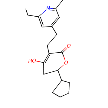 CCc1cc(CCC2=C(O)CC(C3CCCC3)OC2=O)cc(CC)n1